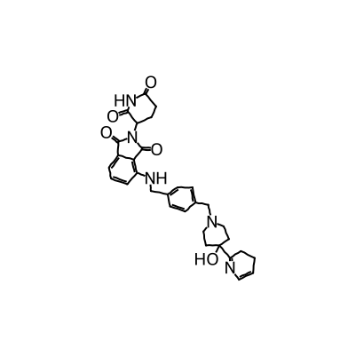 O=C1CCC(N2C(=O)c3cccc(NCc4ccc(CN5CCC(O)(C6=NC=CCC6)CC5)cc4)c3C2=O)C(=O)N1